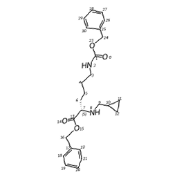 O=C(NCCCC[C@H](NCC1CC1)C(=O)OCc1ccccc1)OCc1ccccc1